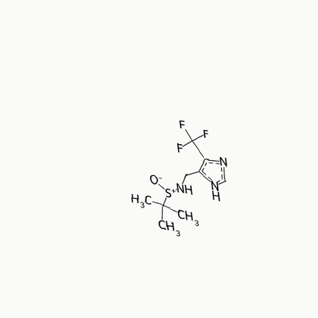 CC(C)(C)[S+]([O-])NCc1[nH]cnc1C(F)(F)F